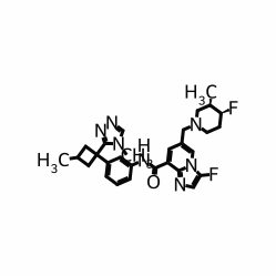 CC1CC(c2cccc(NC(=O)c3cc(CN4CC[C@H](F)[C@H](C)C4)cn4c(F)cnc34)c2)(c2nncn2C)C1